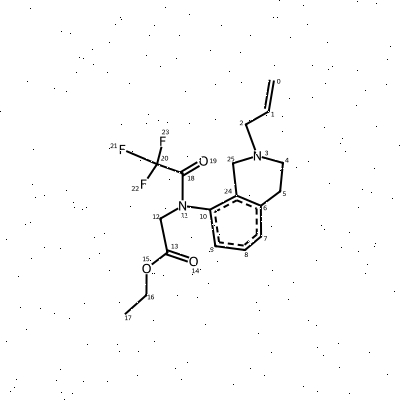 C=CCN1CCc2cccc(N(CC(=O)OCC)C(=O)C(F)(F)F)c2C1